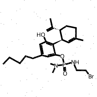 C=C(C)[C@@H]1CCC(C)=C[C@H]1c1c(O)cc(CCCCC)cc1OP(=O)(NCCBr)N(C)C